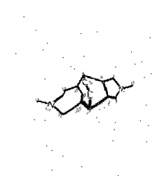 CN1CC2C3CCC(C2C1)C1CN(C)CC31